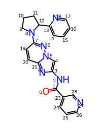 O=C(Nc1cn2nc(N3CCCC3c3ccccn3)ccc2n1)c1cccnc1